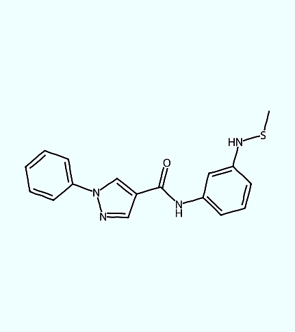 CSNc1cccc(NC(=O)c2cnn(-c3ccccc3)c2)c1